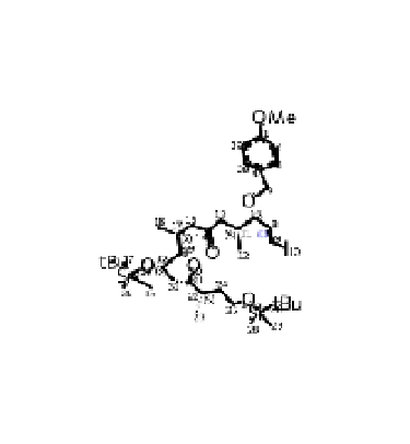 COc1ccc(CO[C@H](/C=C/I)[C@@H](C)CC(=O)C[C@H](C)[C@@H]2O[C@H]([C@@H](C)CCO[Si](C)(C)C(C)(C)C)C[C@@H]2O[Si](C)(C)C(C)(C)C)cc1